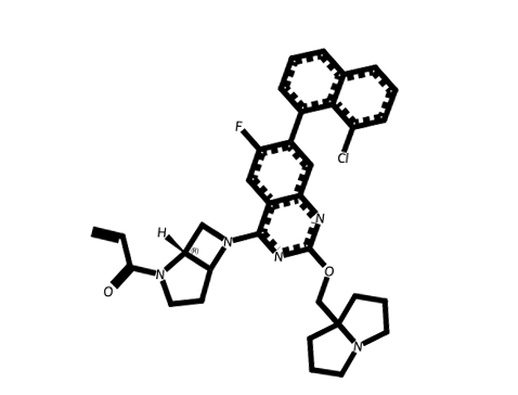 C=CC(=O)N1CCC2[C@H]1CN2c1nc(OCC23CCCN2CCC3)nc2cc(-c3cccc4cccc(Cl)c34)c(F)cc12